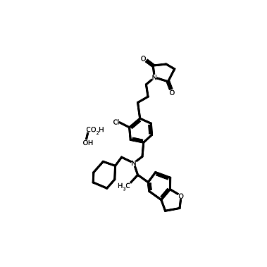 CC(c1ccc2c(c1)CCO2)N(Cc1ccc(CCCN2C(=O)CCC2=O)c(Cl)c1)CC1CCCCC1.O=C(O)O